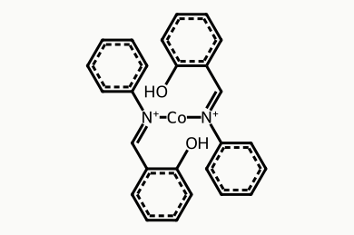 Oc1ccccc1C=[N+]([Co][N+](=Cc1ccccc1O)c1ccccc1)c1ccccc1